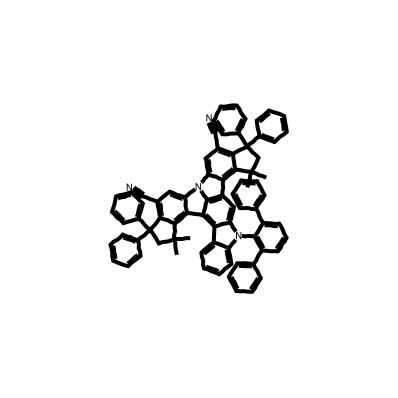 CC1(C)CC(c2ccccc2)(c2ccccc2)c2c(C#N)cc3c(c21)c1cc2c(c4ccccc4n2-c2c(-c4ccccc4)cccc2-c2ccccc2)c2c4c5c(c(C#N)cc4n3c12)C(c1ccccc1)(c1ccccc1)CC5(C)C